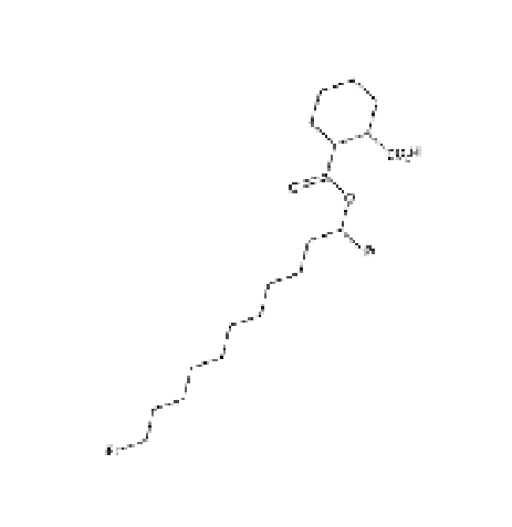 CC(C)CCCCCCCCCCC(OC(=O)C1CCCCC1C(=O)O)C(C)C